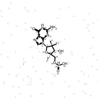 C[C@]1(F)[C@H](n2cnc3c(=O)[nH]c(N)nc32)O[C@](F)(CO[PH](=O)O)[C@H]1O